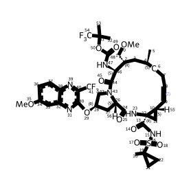 COC[C@@H]1C[C@@H](C)CC/C=C\[C@@H]2C[C@@]2(C(=O)NS(=O)(=O)C2(C)CC2)NC(=O)[C@@H]2C[C@@H](Oc3nc4cc(OC)ccc4nc3C(F)(F)F)CN2C(=O)[C@H]1NC(=O)OC(C)(C)C(F)(F)F